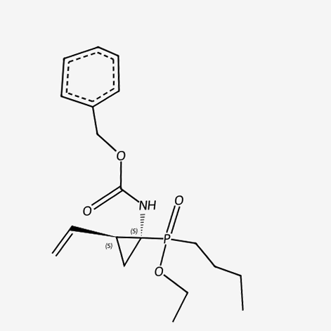 C=C[C@@H]1C[C@]1(NC(=O)OCc1ccccc1)P(=O)(CCCC)OCC